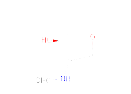 O=CN[C@H]1COC[C@@H]1O